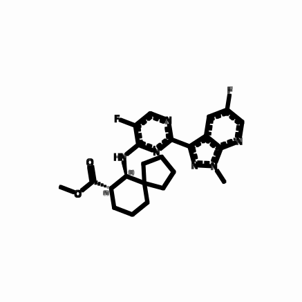 COC(=O)[C@H]1CCCC2(CCCC2)[C@@H]1Nc1nc(-c2nn(C)c3ncc(F)cc23)ncc1F